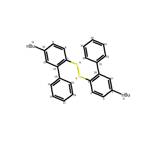 CCCCc1ccc(SSc2ccc(CCCC)cc2-c2ccccc2)c(-c2ccccc2)c1